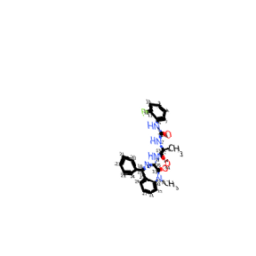 C[C@H](NC(=O)Nc1ccccc1F)C(=O)N[C@H]1N=C(c2ccccc2)c2ccccc2N(C)C1=O